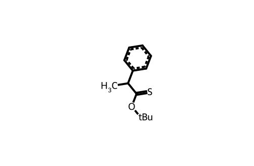 CC(C(=S)OC(C)(C)C)c1ccccc1